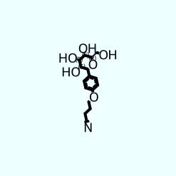 N#CCCCOc1ccc(C2O[C@H](CO)[C@@H](O)[C@H](O)[C@@H]2O)cc1